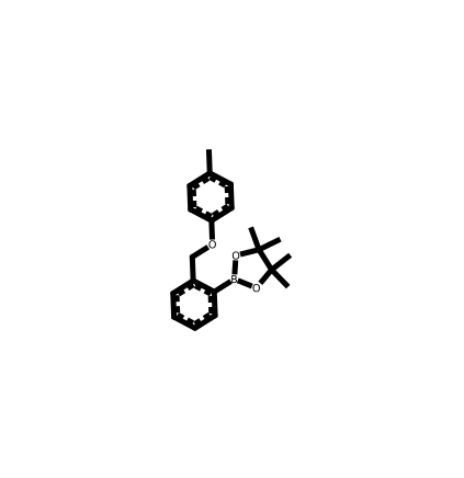 Cc1ccc(OCc2ccccc2B2OC(C)(C)C(C)(C)O2)cc1